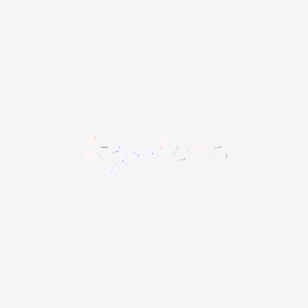 COc1cc2nc(N3CCN(C(=O)Cc4ccc(OCc5ccccc5)cc4)CC3)nc(N3CCCC3)c2cc1OC